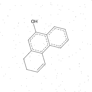 Oc1cc2c(c3ccccc13)C=CCC2